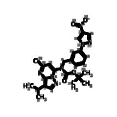 CC(C)c1cnn2c(N(Cc3cccc(-n4cc([N+](=O)[O-])cn4)c3)C(=O)OC(C)(C)C)cc(Cl)nc12